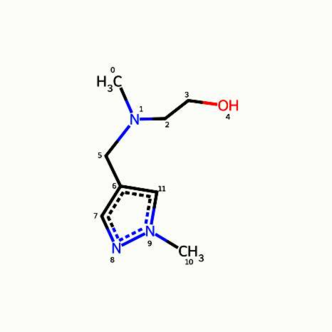 CN(CCO)Cc1cnn(C)c1